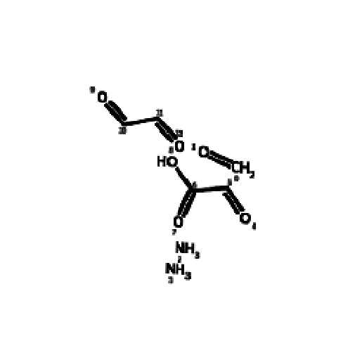 C=O.N.N.O=CC(=O)O.O=CC=O